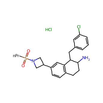 CCCS(=O)(=O)N1CC(c2ccc3c(c2)C(Cc2cccc(Cl)c2)C(N)CC3)C1.Cl